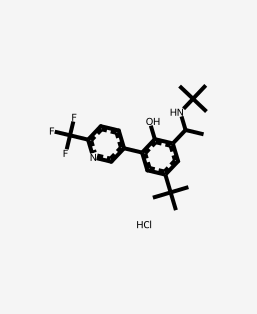 CC(NC(C)(C)C)c1cc(C(C)(C)C)cc(-c2ccc(C(F)(F)F)nc2)c1O.Cl